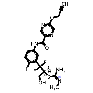 C#CCOc1cnc(C(=O)Nc2ccc(F)c(C(F)(F)[C@](C)(CO)S/C(N)=N\C)c2)cn1